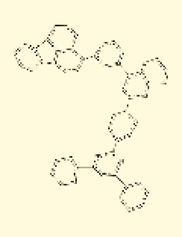 c1ccc(-c2cc(-c3ccccc3)nc(-c3ccc(-c4cc(-c5cccc(-c6ccc7c8c(cccc68)-c6ccccc6-7)c5)c5ccccc5c4)cc3)n2)cc1